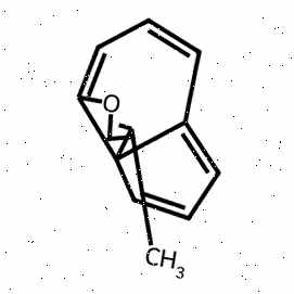 CC1=COC2=CC=CC3=CC=CC132